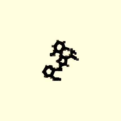 CNc1nccnc1Nc1nc(-c2c(C)cccc2Cl)c(C(N)=O)s1